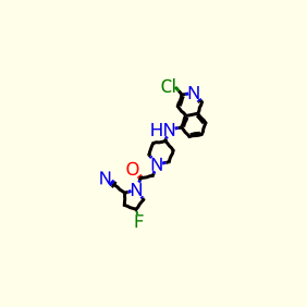 N#CC1C[C@H](F)CN1C(=O)CN1CCC(Nc2cccc3cnc(Cl)cc23)CC1